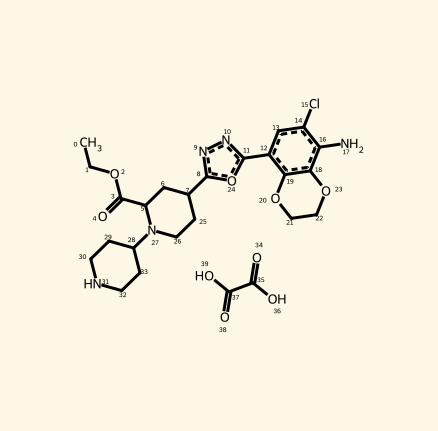 CCOC(=O)C1CC(c2nnc(-c3cc(Cl)c(N)c4c3OCCO4)o2)CCN1C1CCNCC1.O=C(O)C(=O)O